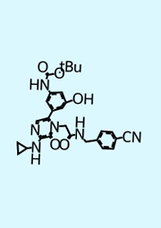 CC(C)(C)OC(=O)Nc1cc(O)cc(-c2cnc(NC3CC3)c(=O)n2CC(=O)NCc2ccc(C#N)cc2)c1